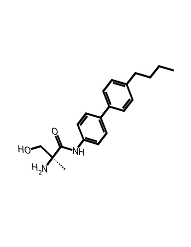 CCCCc1ccc(-c2ccc(NC(=O)[C@@](C)(N)CO)cc2)cc1